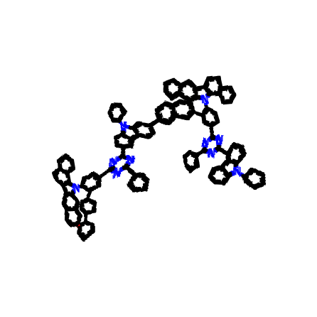 c1ccc(-c2ccc(-c3cc(-c4nc(-c5ccccc5)nc(-c5ccc6c(c5)c5ccc(-c7ccc8ccc(-c9cc(-c%10nc(-c%11ccccc%11)nc(-c%11cccc%12c%11c%11ccccc%11n%12-c%11ccccc%11)n%10)ccc9-n9c%10cc%11ccccc%11cc%10c%10ccc%11ccccc%11c%109)cc8c7)cc5n6-c5ccccc5)n4)ccc3-n3c4cc5ccccc5cc4c4ccc5ccccc5c43)cc2)cc1